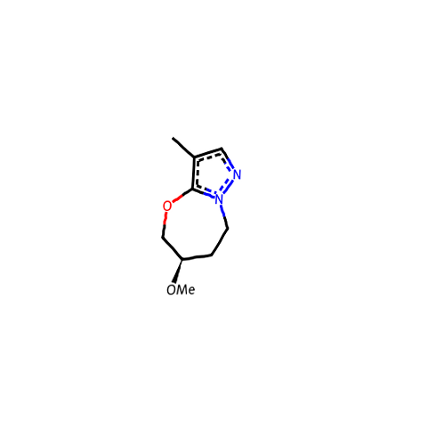 CO[C@@H]1CCn2ncc(C)c2OC1